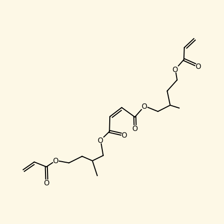 C=CC(=O)OCCC(C)COC(=O)/C=C\C(=O)OCC(C)CCOC(=O)C=C